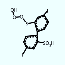 O=S(=O)(O)c1cc(I)ccc1-c1ccc(I)cc1SOOO